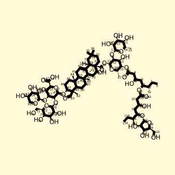 CC[C@H](C)C(CC(O)CC(=O)O[C@H]1[C@@H](O)[C@H](O[C@@H]2O[C@@H](C)[C@H](O)[C@@H](O)[C@H]2O)[C@@H](OC(=O)[C@]23CCC(C)(C)C[C@H]2C2=CCC4[C@@]5(C)CC[C@H](OC6O[C@H](C(=O)O)[C@@H](O)[C@H](O[C@H]7OC[C@@H](O)[C@H](O)[C@H]7O)[C@H]6O[C@@H]6O[C@H](CO)[C@H](O)[C@H](O)[C@H]6O)[C@@](C)(C=O)C5CC[C@@]4(C)[C@]2(C)C[C@H]3O)O[C@H]1C)OC(=O)CC(O)CC(O[C@@H]1O[C@@H](CO)[C@H](O)[C@H]1O)[C@@H](C)CC